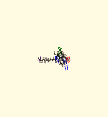 Cc1c(C)n(CCCCCCCCCI)c2ccc3[nH]c(=O)cc(C(F)(F)F)c3c12